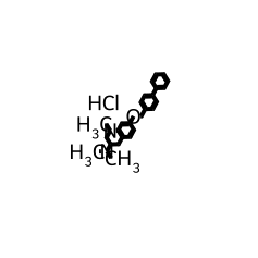 CN1CC(N(C)C)Cc2ccc(OCc3ccc(-c4ccccc4)cc3)cc21.Cl